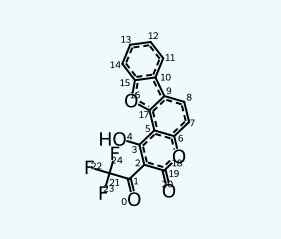 O=C(c1c(O)c2c(ccc3c4ccccc4oc32)oc1=O)C(F)(F)F